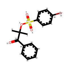 CC(C)(OS(=O)(=O)c1ccc(Br)cc1)C(=O)c1ccccc1